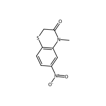 CN1C(=O)CSc2ccc([N+](=O)[O-])cc21